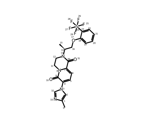 Cc1cn(-c2ccc3n(c2=O)CCN([C@@H](C)COc2ccccc2S(F)(F)(F)(F)F)C3=O)cn1